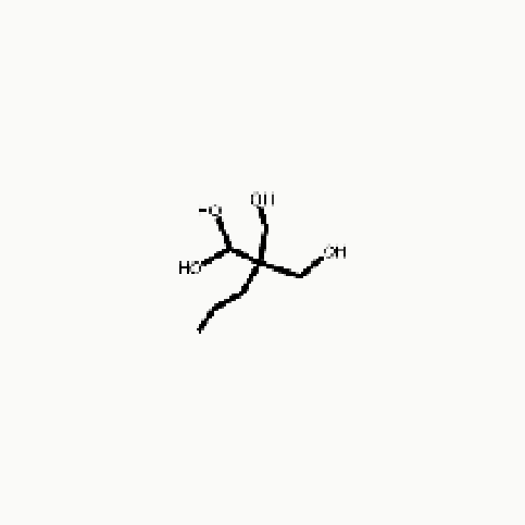 CCCC(CO)(CO)C(O)O